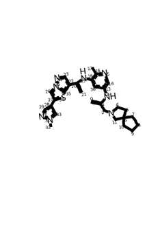 C=C(CN1CCC2(CCCC2)C1)Nc1cnc(C)c(NC(=C)c2cnn3cc(-c4cnn(C)c4)sc23)c1